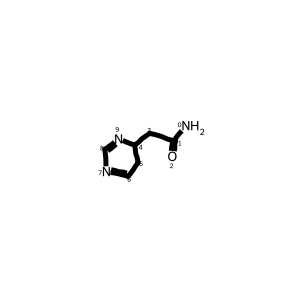 NC(=O)CC1CC=NC=N1